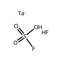 F.O=S(=O)(O)F.[Ta]